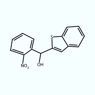 O=[N+]([O-])c1ccccc1C(O)c1cc2ccccc2s1